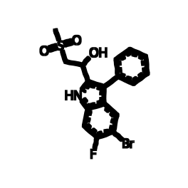 CS(=O)(=O)CC(O)c1[nH]c2cc(F)c(Br)cc2c1-c1ccccc1